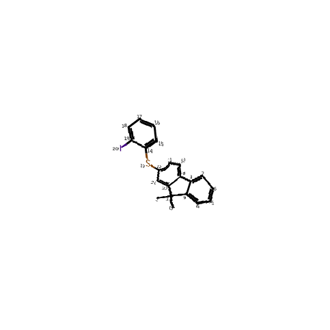 CC1(C)c2ccccc2-c2ccc(Sc3ccccc3I)cc21